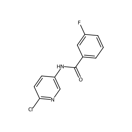 O=C(Nc1ccc(Cl)nc1)c1cccc(F)c1